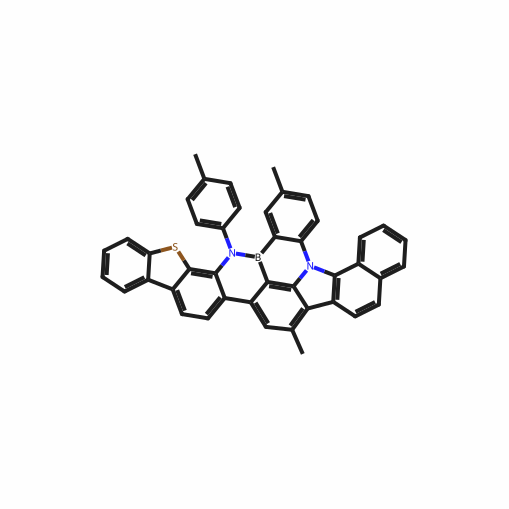 Cc1ccc(N2B3c4cc(C)ccc4-n4c5c3c(cc(C)c5c3ccc5ccccc5c34)-c3ccc4c(sc5ccccc54)c32)cc1